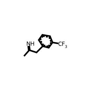 CC(=N)Cc1cccc(C(F)(F)F)c1